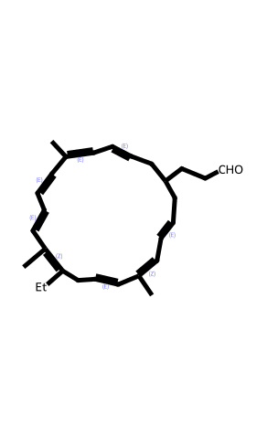 CC/C1=C(C)/C=C/C=C/C(C)=C/C=C/CC(CCC=O)C/C=C/C=C(C)\C=C\C1